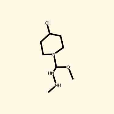 CNNC(OC)N1CCC(O)CC1